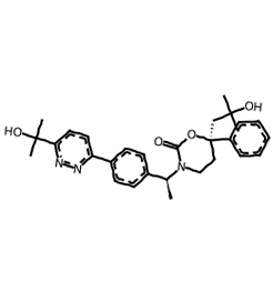 C[C@@H](c1ccc(-c2ccc(C(C)(C)O)nn2)cc1)N1CC[C@](CC(C)(C)O)(c2ccccc2)OC1=O